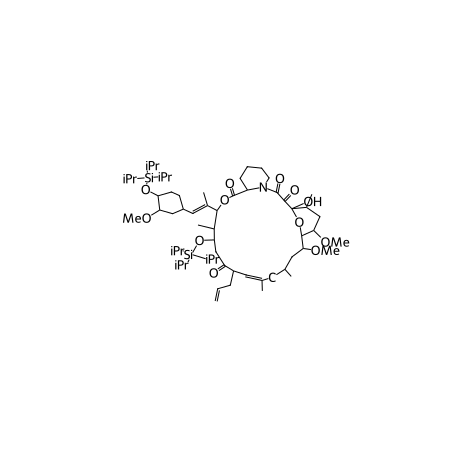 C=CCC1/C=C(\C)CC(C)CC(OC)C2OC(O)(C(=O)C(=O)N3CCCCC3C(=O)OC(C(C)=CC3CCC(O[Si](C(C)C)(C(C)C)C(C)C)C(OC)C3)C(C)C(O[Si](C(C)C)(C(C)C)C(C)C)CC1=O)C(C)CC2OC